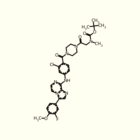 COc1ccc(-c2cnc3c(Nc4ccc(C(=O)N5CCN(C(=O)CN(C)C(=O)OC(C)(C)C)CC5)c(Cl)c4)nccn23)cc1F